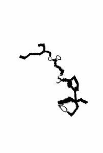 C=CC1(c2cccc(SCCC(=O)OCC(CC)CCCC)c2)CCOCC1